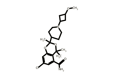 COC1CC(N2CCC(C3(C)Oc4cc(Cl)cc(C(N)=O)c4C(C)(C)O3)CC2)C1